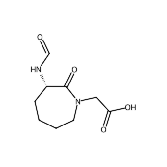 O=CN[C@H]1CCCCN(CC(=O)O)C1=O